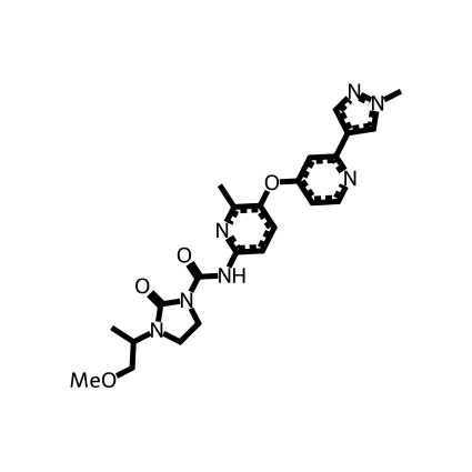 COCC(C)N1CCN(C(=O)Nc2ccc(Oc3ccnc(-c4cnn(C)c4)c3)c(C)n2)C1=O